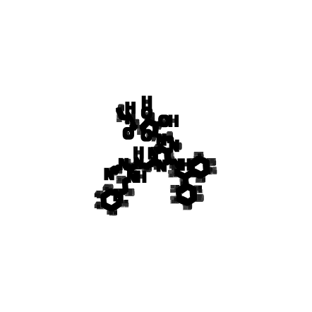 CCNC(=O)[C@H]1O[C@@H](n2cnc3c(NCC(c4ccccc4)c4ccccc4)nc(CN/C(=N/C#N)NCCN4CCCCC4)nc32)[C@H](O)[C@@H]1O